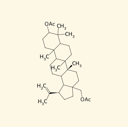 C=C(C)[C@@H]1CCC2(COC(C)=O)CC[C@]3(C)C(CCC4C5(C)CCC(OC(C)=O)C(C)(C)C5CCC43C)C12